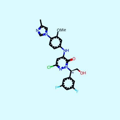 COc1cc(Nc2cc(Cl)nn([C@@H](CO)c3cc(F)cc(F)c3)c2=O)ccc1-n1cnc(C)c1